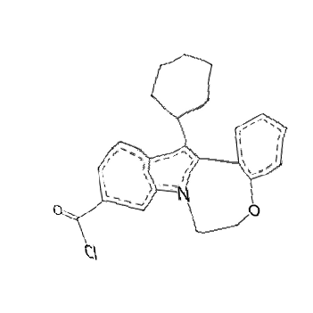 O=C(Cl)c1ccc2c(C3CCCCC3)c3n(c2c1)CCOc1ccccc1-3